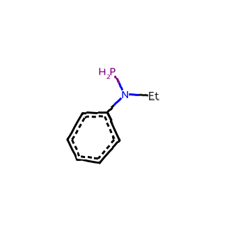 CCN(P)c1ccccc1